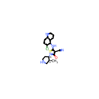 C[C@H]1CNCC[C@H]1n1sc(Nc2c(Cl)ccc3ncccc23)c(C#N)c1=O